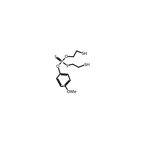 COc1ccc(OP(=S)(OCCS)SCCS)cc1